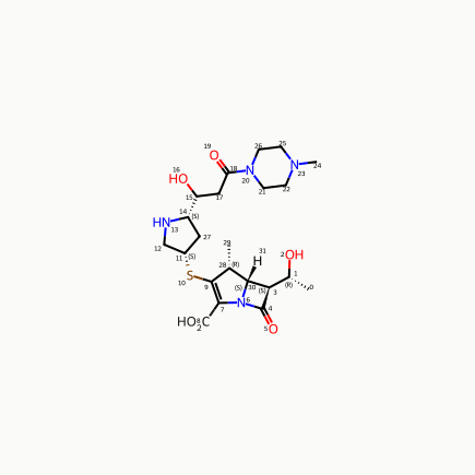 C[C@@H](O)[C@H]1C(=O)N2C(C(=O)O)=C(S[C@@H]3CN[C@H](C(O)CC(=O)N4CCN(C)CC4)C3)[C@H](C)[C@H]12